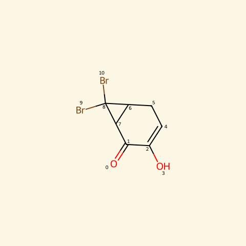 O=C1C(O)=CCC2C1C2(Br)Br